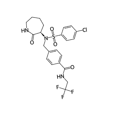 O=C(NCC(F)(F)F)c1ccc(CN([C@@H]2CCCCNC2=O)S(=O)(=O)c2ccc(Cl)cc2)cc1